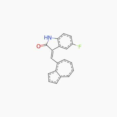 O=C1Nc2ccc(F)cc2/C1=C\c1ccccc2cccc1-2